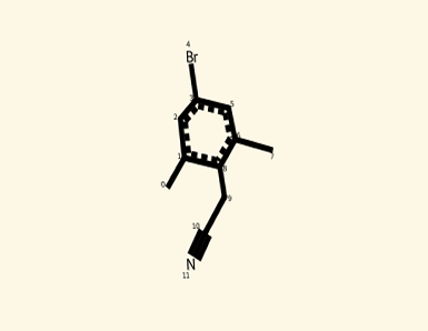 Cc1cc(Br)cc(C)c1CC#N